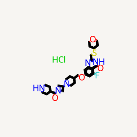 Cl.O=C(C1CCNCC1)N1CC(N2CCC(COc3cc(F)c4c(=O)[nH]c(CSC5CCOCC5)nc4c3)CC2)C1